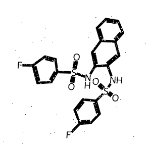 O=S(=O)(Nc1cc2ccccc2cc1NS(=O)(=O)c1ccc(F)cc1)c1ccc(F)cc1